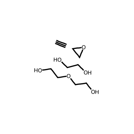 C#C.C1CO1.OCCO.OCCOCCO